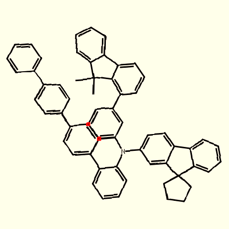 CC1(C)c2ccccc2-c2cccc(-c3cccc(N(c4ccc5c(c4)C4(CCCC4)c4ccccc4-5)c4ccccc4-c4ccc(-c5ccc(-c6ccccc6)cc5)cc4)c3)c21